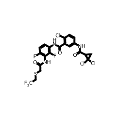 O=C(CSCC(F)(F)F)Nc1c(F)ccc(NC(=O)c2cc(NC(=O)C3CC3(Cl)Cl)ccc2Cl)c1F